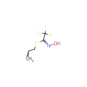 C=CCSC(=NO)C(F)(F)F